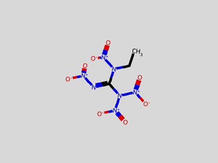 CCN(C(=N[N+](=O)[O-])N([N+](=O)[O-])[N+](=O)[O-])[N+](=O)[O-]